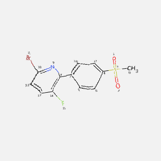 CS(=O)(=O)c1ccc(-c2nc(Br)ccc2F)cc1